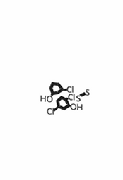 Oc1cc(Cl)ccc1Cl.Oc1cccc(Cl)c1.S=C=S